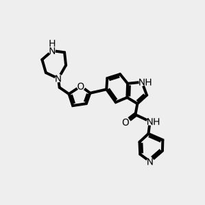 O=C(Nc1ccncc1)c1c[nH]c2ccc(-c3ccc(CN4CCNCC4)o3)cc12